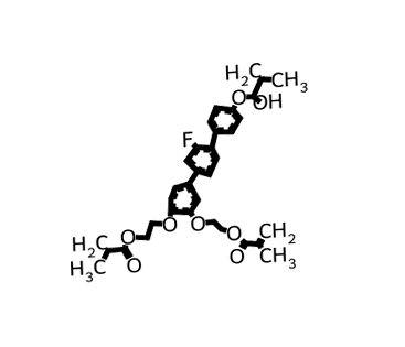 C=C(C)C(=O)OCCOc1ccc(-c2ccc(-c3ccc(OC(O)C(=C)C)cc3)c(F)c2)cc1OCCOC(=O)C(=C)C